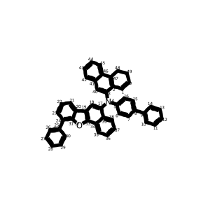 C1=Cc2c(N(c3ccc(-c4ccccc4)cc3)c3cc4c5cccc(-c6ccccc6)c5oc4c4ccccc34)cc3ccccc3c2CC1